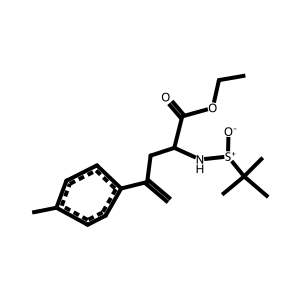 C=C(CC(N[S+]([O-])C(C)(C)C)C(=O)OCC)c1ccc(C)cc1